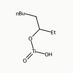 CCCCCC(CC)[O][Ti](=[O])[OH]